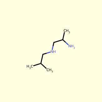 CC(C)CNCC(C)N